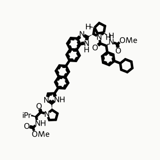 COC(=O)N[C@H](C(=O)N1CCC[C@H]1c1ncc(-c2ccc3cc(-c4ccc5c(ccc6nc([C@@H]7[C@H]8CC[C@H](C8)N7C(=O)[C@H](NC(=O)OC)c7cccc(C8CCCCC8)c7)[nH]c65)c4)ccc3c2)[nH]1)C(C)C